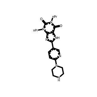 CCCn1c(=O)c2[nH]c(-c3ccc(N4CCNCC4)nc3)nc2n(CCC)c1=O